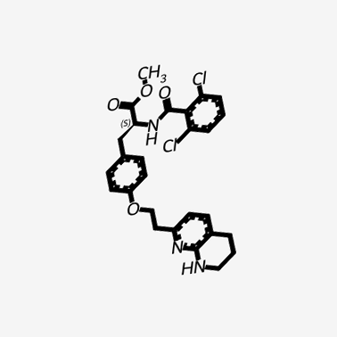 COC(=O)[C@H](Cc1ccc(OCCc2ccc3c(n2)NCCC3)cc1)NC(=O)c1c(Cl)cccc1Cl